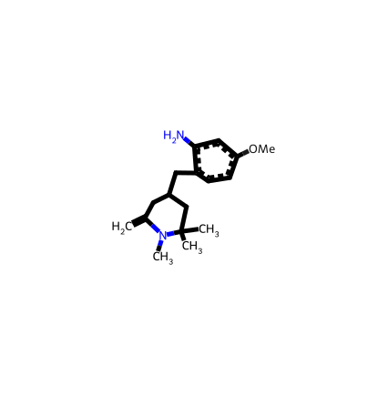 C=C1CC(Cc2ccc(OC)cc2N)CC(C)(C)N1C